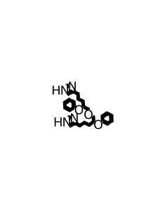 c1ccc(OC(CCCc2c[nH]cn2)COCC(CCCc2c[nH]cn2)Oc2ccccc2)cc1